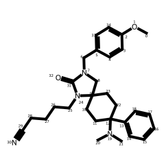 COc1ccc(CN2CC3(CCC(c4ccccc4)(N(C)C)CC3)N(CCCCC#N)C2=O)cc1